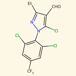 CCc1nn(-c2c(Cl)cc(C(F)(F)F)cc2Cl)c(Cl)c1C=O